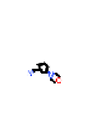 N#Cc1[c]ccc(N2CCOCC2)c1